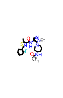 CCn1ncc(NC(=O)c2nc(-c3ccccc3F)sc2C)c1N1CCC[C@@H](NC(=O)C(F)(F)F)CC1